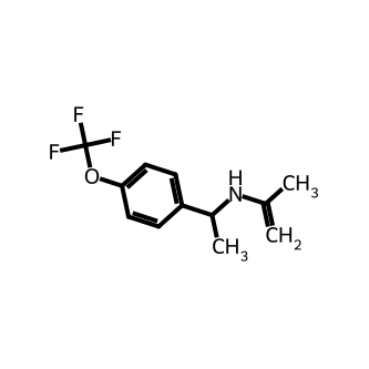 C=C(C)NC(C)c1ccc(OC(F)(F)F)cc1